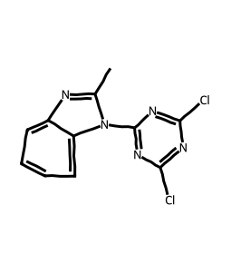 Cc1nc2ccccc2n1-c1nc(Cl)nc(Cl)n1